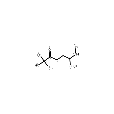 CC(C)NC(CCC(=O)C(C)(C)O)C(=O)O